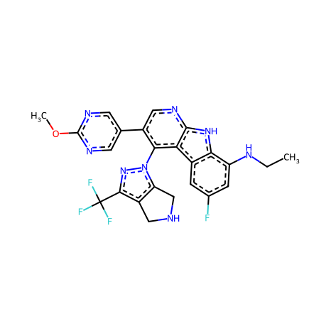 CCNc1cc(F)cc2c1[nH]c1ncc(-c3cnc(OC)nc3)c(-n3nc(C(F)(F)F)c4c3CNC4)c12